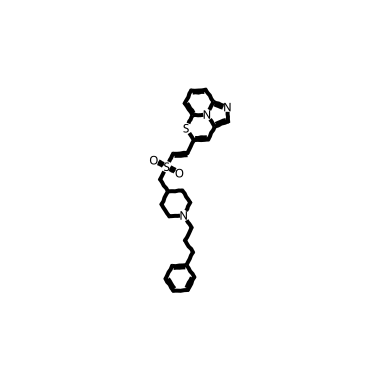 O=S(=O)(C=CC1=Cc2cnc3cccc(n23)S1)CC1CCN(CCCc2ccccc2)CC1